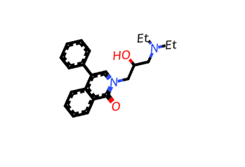 CCN(CC)CC(O)Cn1cc(-c2ccccc2)c2ccccc2c1=O